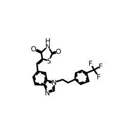 O=C1NC(=O)C(=Cc2ccc3ncn(CCc4ccc(C(F)(F)F)cc4)c3c2)S1